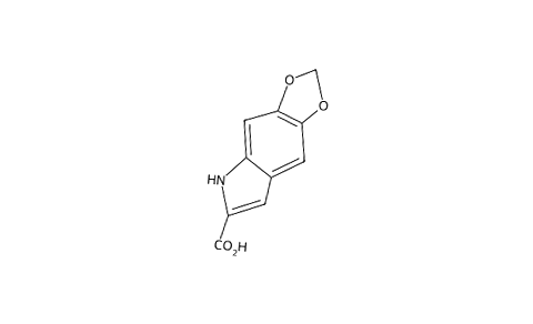 O=C(O)c1cc2cc3c(cc2[nH]1)OCO3